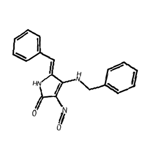 O=NC1=C(NCc2ccccc2)C(=Cc2ccccc2)NC1=O